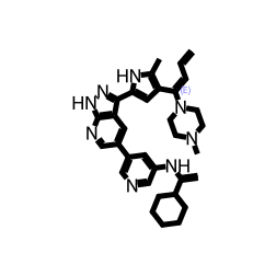 C=C/C=C(\c1cc(-c2n[nH]c3ncc(-c4cncc(NC(=C)C5CCCCC5)c4)cc23)[nH]c1C)N1CCN(C)CC1